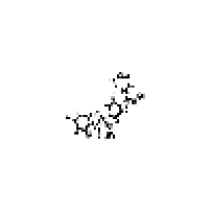 Cc1ccc(N(CC(C)C)S(=O)(=O)c2ccc(C(CO)N3CCOCC3)cc2)c(C)c1